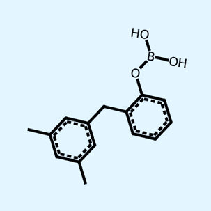 Cc1cc(C)cc(Cc2ccccc2OB(O)O)c1